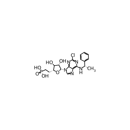 C[C@H](Nc1nc(Cl)nc2c1ncn2[C@@H]1O[C@H](CCP(=O)(O)O)C(O)[C@@H]1O)c1ccccc1